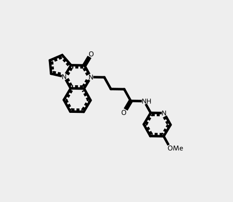 COc1ccc(NC(=O)CCCn2c(=O)c3cccn3c3ccccc32)nc1